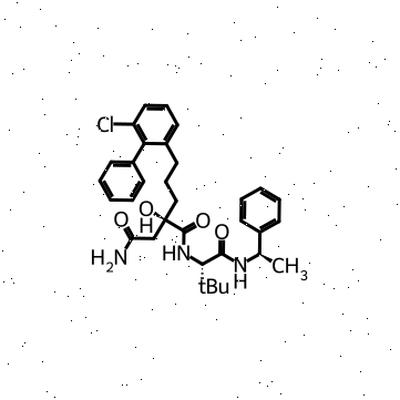 C[C@@H](NC(=O)[C@@H](NC(=O)[C@@](O)(CCCc1cccc(Cl)c1-c1ccccc1)CC(N)=O)C(C)(C)C)c1ccccc1